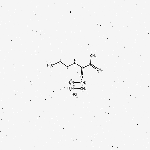 C=C(C)C(=O)NCCC.CN.CN.Cl